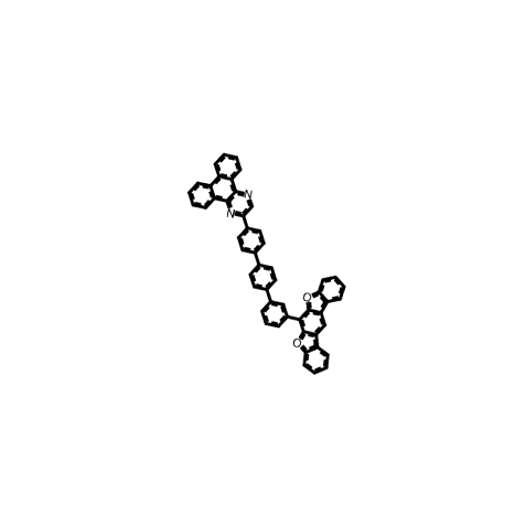 c1cc(-c2ccc(-c3ccc(-c4cnc5c6ccccc6c6ccccc6c5n4)cc3)cc2)cc(-c2c3oc4ccccc4c3cc3c2oc2ccccc23)c1